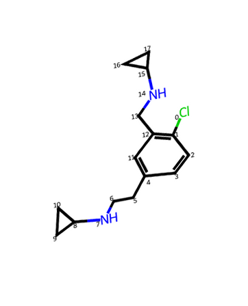 Clc1ccc(CCNC2CC2)cc1CNC1CC1